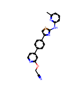 Cc1cccc(Nc2nc(-c3ccc(-c4ccnc(OCC#N)c4)cc3)cs2)n1